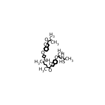 CC(S)NC[C@@H](C)Oc1ccc2cc(C(=O)C(C)CCC(C)N[C@H]3C[C@@H](Oc4ccc5cc(C(=O)C(C)C)oc5c4)C3)oc2c1